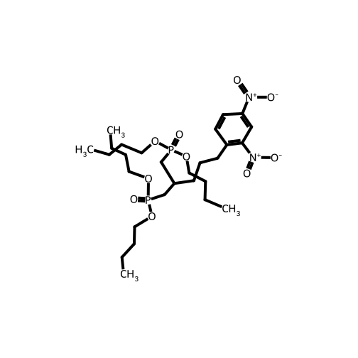 CCCCOP(=O)(CC(CCCc1ccc([N+](=O)[O-])cc1[N+](=O)[O-])CP(=O)(OCCCC)OCCCC)OCCCC